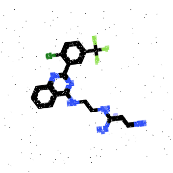 N=C/C=C(\N)NCCNc1nc(-c2cc(C(F)(F)F)ccc2Cl)nc2ccccc12